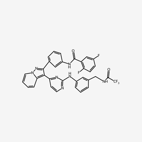 O=C(Nc1cccc(-c2nn3ccccc3c2-c2ccnc(Nc3cccc(CNC(=O)C(F)(F)F)c3)n2)c1)c1cc(F)ccc1F